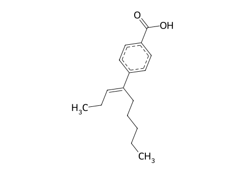 CC/C=C(\CCCCC)c1ccc(C(=O)O)cc1